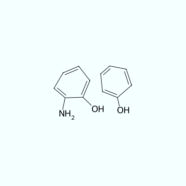 Nc1ccccc1O.Oc1ccccc1